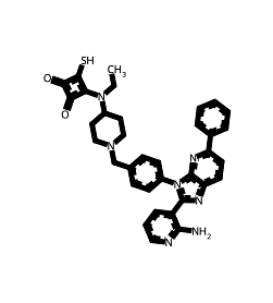 CCN(c1c(S)c(=O)c1=O)C1CCN(Cc2ccc(-n3c(-c4cccnc4N)nc4ccc(-c5ccccc5)nc43)cc2)CC1